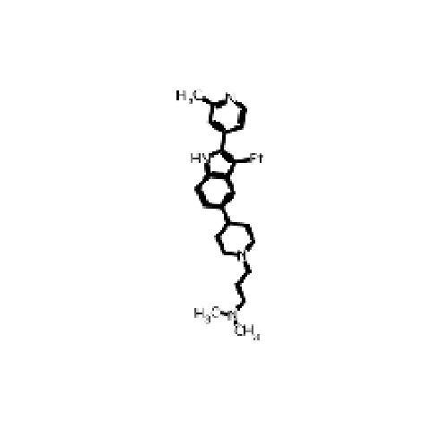 CCc1c(-c2ccnc(C)c2)[nH]c2ccc(C3CCN(CCCN(C)C)CC3)cc12